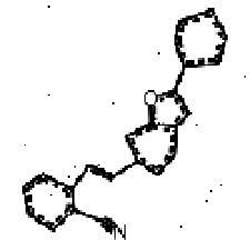 N#Cc1ccccc1C=Cc1ccc2cc(-c3ccccc3)oc2c1